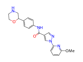 COc1cccc(-n2cc(C(=O)Nc3ccc(C4CNCCO4)cc3)cn2)n1